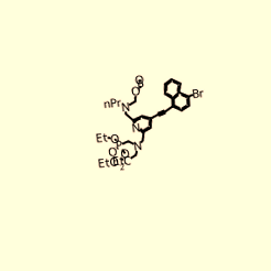 CCCN(COP=O)Cc1cc(C#Cc2ccc(Br)c3ccccc23)cc(CN(CC(=O)OCC)CP(=O)(OCC)OCC)n1